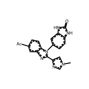 CC(=O)c1ccc2c(c1)nc(-c1cn(C)cn1)n2-c1ccc2[nH]c(=O)[nH]c2c1